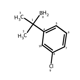 BC(C)(C)c1cccc(Cl)c1